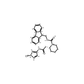 O=C(C[C@H]1CCCCN1C(=O)OCC1c2ccccc2-c2ccccc21)Oc1cnn(Cl)n1